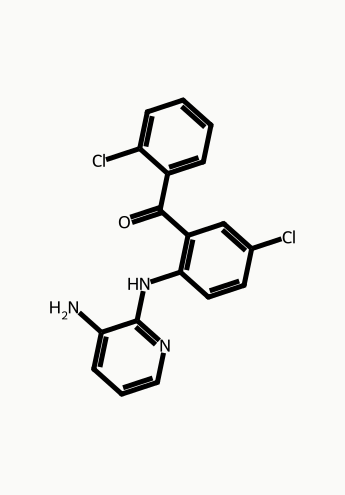 Nc1cccnc1Nc1ccc(Cl)cc1C(=O)c1ccccc1Cl